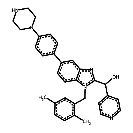 Cc1ccc(C)c(Cn2c(C(O)c3ccncc3)nc3cc(-c4ccc(N5CCNCC5)cc4)ccc32)c1